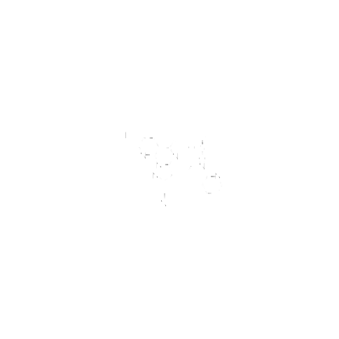 CCS(=O)(=O)OC(C(=O)Nc1ccc(F)cn1)n1c(=O)c2ccc(C(F)(F)F)nc2n2nc(C#N)cc12